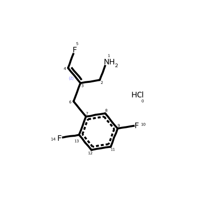 Cl.NC/C(=C\F)Cc1cc(F)ccc1F